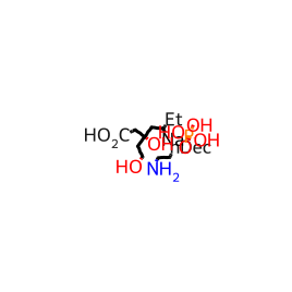 CCCCCCCCCCCCN.CC[CH]([Na])CC(O)(CCO)CC(=O)O.O=P(O)(O)O